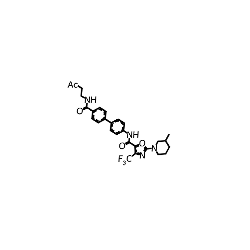 CC(=O)CCNC(=O)c1ccc(-c2ccc(NC(=O)c3oc(N4CCCC(C)C4)nc3C(F)(F)F)cc2)cc1